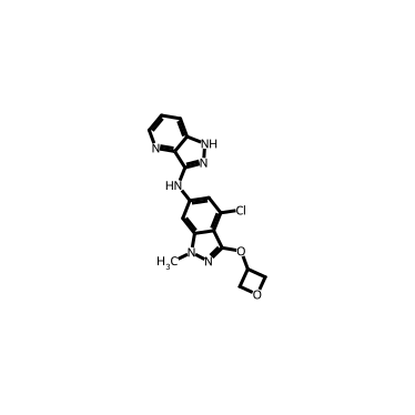 Cn1nc(OC2COC2)c2c(Cl)cc(Nc3n[nH]c4cccnc34)cc21